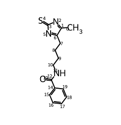 CC1=NC(=S)N=C1CCCCNC(=O)c1ccccc1